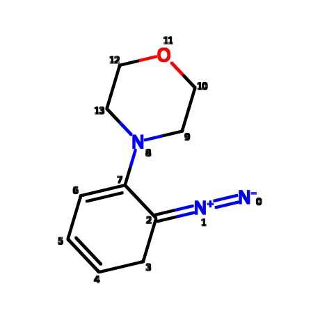 [N-]=[N+]=C1CC=CC=C1N1CCOCC1